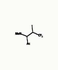 CNC(C(C)=O)C(C)C(F)(F)F